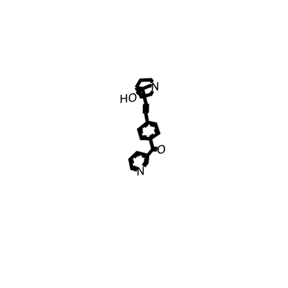 O=C(c1ccc(C#CC2(O)CN3CCC2CC3)cc1)c1cccnc1